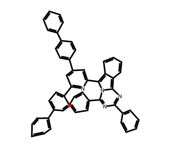 c1ccc(-c2ccc(-c3cc(-c4ccc(-c5ccccc5)cc4)nc(-c4c5ccccc5c5nc(-c6ccccc6)nc(-c6ccccc6)n45)c3)cc2)cc1